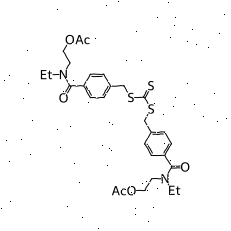 CCN(CCOC(C)=O)C(=O)c1ccc(CSC(=S)SCc2ccc(C(=O)N(CC)CCOC(C)=O)cc2)cc1